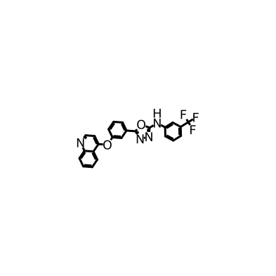 FC(F)(F)c1cccc(Nc2nnc(-c3cccc(Oc4ccnc5ccccc45)c3)o2)c1